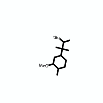 COC1CC(C(C)(C)C(C)C(C)(C)C)CCC1C